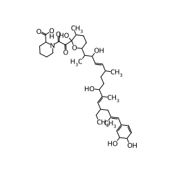 CCC(/C=C(\C)C(O)CCC(C)/C=C/C(O)C(C)C1CCC(C)C(O)(C(=O)C(=O)N2CCCCC2C(=O)O)O1)C/C(C)=C/C1=CC(O)C(O)C=C1